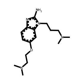 CN(C)CCCn1c(N)nc2ccc(OCCN(C)C)cc21